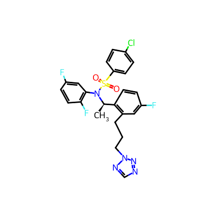 C[C@H](c1ccc(F)cc1CCCn1ncnn1)N(c1cc(F)ccc1F)S(=O)(=O)c1ccc(Cl)cc1